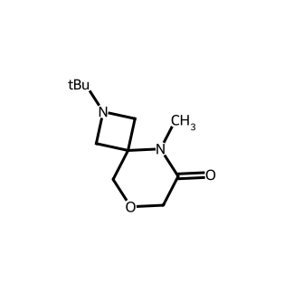 CN1C(=O)COCC12CN(C(C)(C)C)C2